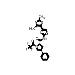 Cc1nc(C)c(-c2csc(NC(=O)[C@@H]3C[C@@H](c4ccccc4)CN3C(=O)C(F)(F)F)n2)s1